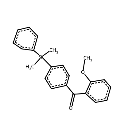 COc1ccccc1C(=O)c1ccc([Si](C)(C)c2ccccc2)cc1